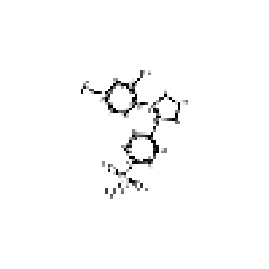 CS(=O)(=O)c1ccc(C2=C(c3ccc(Cl)cc3F)CCC2)cc1